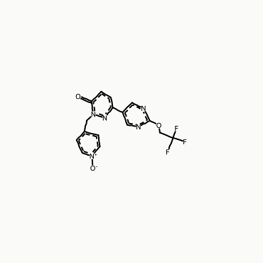 O=c1ccc(-c2cnc(OCC(F)(F)F)nc2)nn1Cc1cc[n+]([O-])cc1